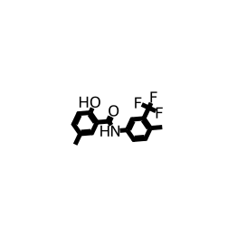 Cc1ccc(O)c(C(=O)Nc2ccc(C)c(C(F)(F)F)c2)c1